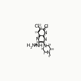 CN1CCN(c2nc3nc(Cl)c(Cl)cc3nc2NN)CC1